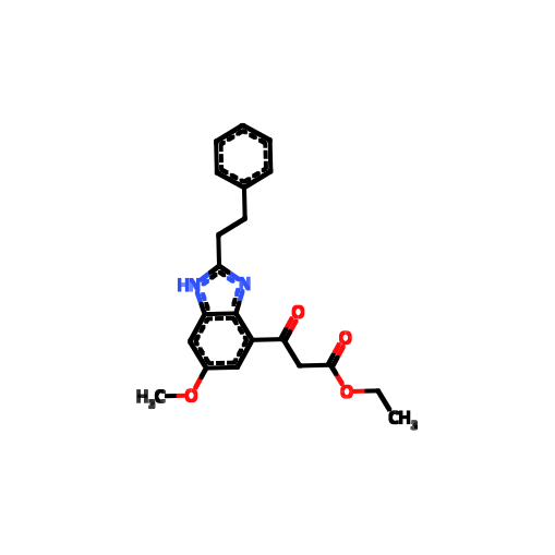 CCOC(=O)CC(=O)c1cc(OC)cc2[nH]c(CCc3ccccc3)nc12